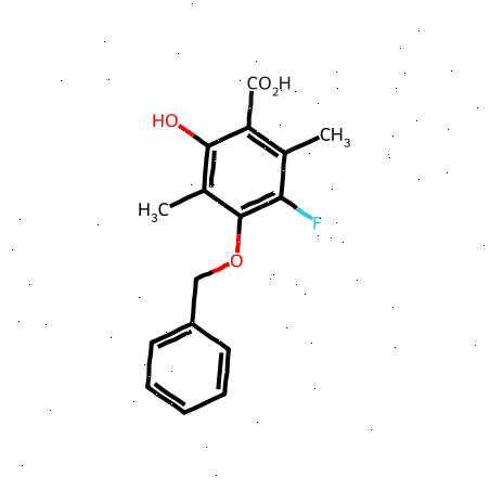 Cc1c(O)c(C(=O)O)c(C)c(F)c1OCc1ccccc1